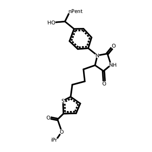 CCCCCC(O)c1ccc(N2C(=O)NC(=O)C2CCCc2ccc(C(=O)OC(C)C)s2)cc1